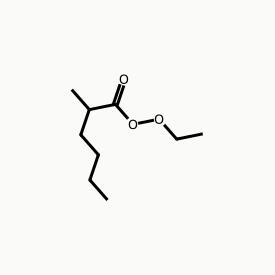 CCCCC(C)C(=O)OOCC